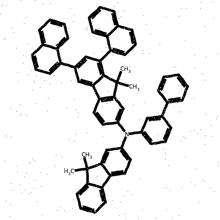 CC1(C)c2ccccc2-c2ccc(N(c3cccc(-c4ccccc4)c3)c3ccc4c(c3)C(C)(C)c3c-4cc(-c4cccc5ccccc45)cc3-c3cccc4ccccc34)cc21